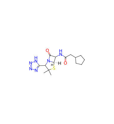 CC1(C)S[C@@H]2C(NC(=O)CC3CCCC3)C(=O)N2C1c1nnn[nH]1